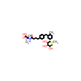 Cc1ccc([C@H]2[C@H](O)[C@H](O)[C@H](O)C[SH]2C)cc1Cc1ccc(CCCC(=O)NC(C)(C)C(=O)O)cc1